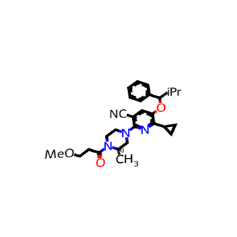 COCCC(=O)N1CCN(c2nc(C3CC3)c(OC(c3ccccc3)C(C)C)cc2C#N)C[C@H]1C